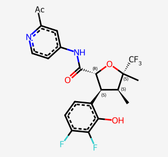 CC(=O)c1cc(NC(=O)[C@@H]2O[C@](C)(C(F)(F)F)[C@@H](C)[C@H]2c2ccc(F)c(F)c2O)ccn1